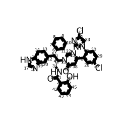 O=C(NC[C@H]([C@@H](c1ccccc1)c1ccc2[nH]cnc2c1)n1cnc(-c2cc(Cl)ccc2-n2cc(Cl)nn2)cc1=O)c1ccccc1O